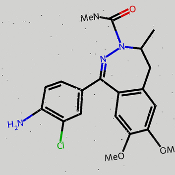 CNC(=O)N1N=C(c2ccc(N)c(Cl)c2)c2cc(OC)c(OC)cc2CC1C